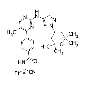 CC[C@@H](C#N)NC(=O)c1ccc(-c2nc(Nc3cnn(C4CC(C)(C)OC(C)(C)C4)c3)ncc2C)cc1